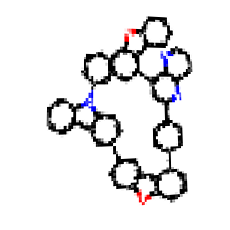 c1ccc(-n2c3ccccc3c3cc(-c4ccc5oc6cccc(-c7ccc(-c8cc(-c9cccc%10oc%11ccccc%11c9%10)c9ncccc9n8)cc7)c6c5c4)ccc32)cc1